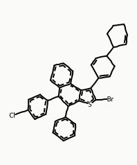 Clc1ccc(-c2c(-c3ccccc3)c3sc(Br)c(C4=CCC(C5C=CCCC5)C=C4)c3c3ccccc23)cc1